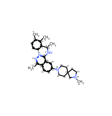 Cc1cccc([C@@H](C)Nc2nnc(C)c3ccc(N4CCC5(CCN(C)C5)CC4)cc23)c1C